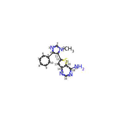 Cn1cnc(-c2ccccc2)c1-c1cc2ncnc(N)c2s1